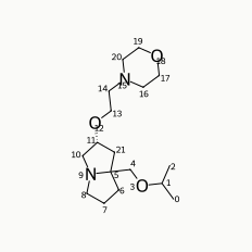 CC(C)OCC12CCCN1C[C@H](OCCN1CCOCC1)C2